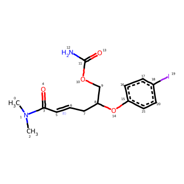 CN(C)C(=O)/C=C/CC(COC(N)=O)Oc1ccc(I)cc1